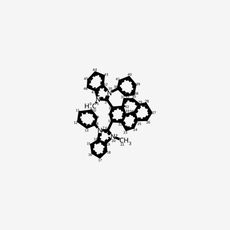 C[n+]1c(-c2cc(-c3n(-c4ccccc4)c4ccccc4[n+]3C)c3ccc4cccc5ccc2c3c54)n(-c2ccccc2)c2ccccc21